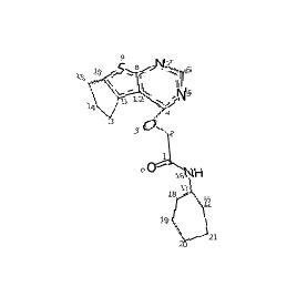 O=C(COc1ncnc2sc3c(c12)CCC3)NC1CCCCC1